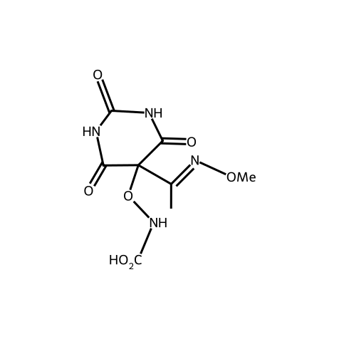 CON=C(C)C1(ONC(=O)O)C(=O)NC(=O)NC1=O